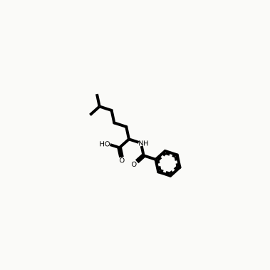 CC(C)CCCC(NC(=O)c1ccccc1)C(=O)O